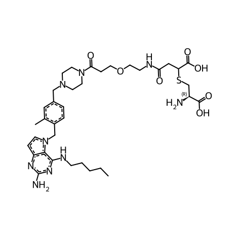 CCCCCNc1nc(N)nc2ccn(Cc3ccc(CN4CCN(C(=O)CCOCCNC(=O)CC(SC[C@H](N)C(=O)O)C(=O)O)CC4)cc3C)c12